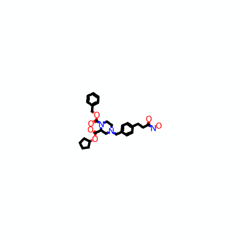 O=NC(=O)CCc1ccc(CN2CCN(C(=O)OCc3ccccc3)C(C(=O)OC3CCCC3)C2)cc1